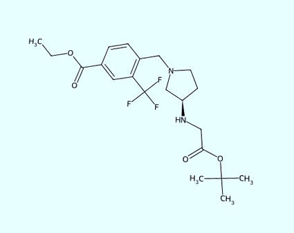 CCOC(=O)c1ccc(CN2CC[C@@H](NCC(=O)OC(C)(C)C)C2)c(C(F)(F)F)c1